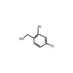 CC(C)c1cc(Cl)ccc1CO